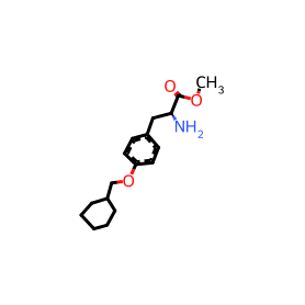 COC(=O)[C@@H](N)Cc1ccc(OCC2CCCCC2)cc1